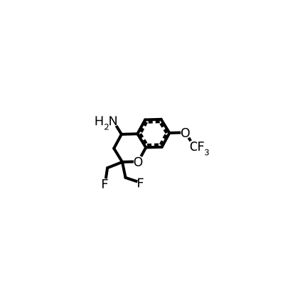 NC1CC(CF)(CF)Oc2cc(OC(F)(F)F)ccc21